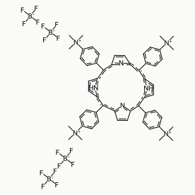 C[N+](C)(C)c1ccc(-c2c3nc(c(-c4ccc([N+](C)(C)C)cc4)c4ccc([nH]4)c(-c4ccc([N+](C)(C)C)cc4)c4nc(c(-c5ccc([N+](C)(C)C)cc5)c5ccc2[nH]5)C=C4)C=C3)cc1.F[B-](F)(F)F.F[B-](F)(F)F.F[B-](F)(F)F.F[B-](F)(F)F